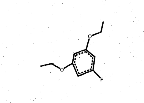 CCOc1cc(F)cc(OCC)c1